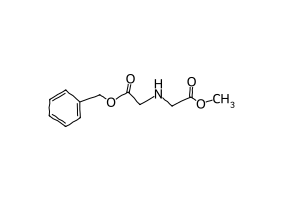 COC(=O)CNCC(=O)OCc1ccccc1